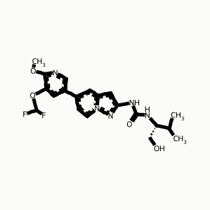 COc1ncc(-c2ccn3nc(NC(=O)N[C@@H](CO)C(C)C)cc3c2)cc1OC(F)F